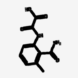 Cc1cccc(NC(=O)C(=O)O)c1C(N)=O